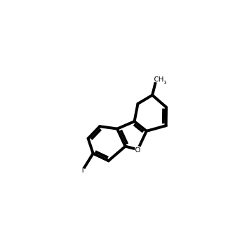 CC1C=Cc2oc3cc(I)ccc3c2C1